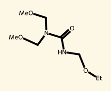 CCOCNC(=O)N(COC)COC